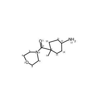 CC1(C(=O)N2CCOCC2)CCC(N)CC1